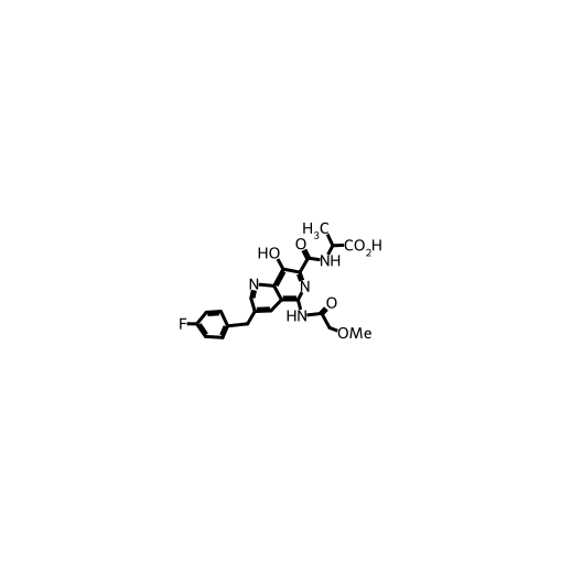 COCC(=O)Nc1nc(C(=O)NC(C)C(=O)O)c(O)c2ncc(Cc3ccc(F)cc3)cc12